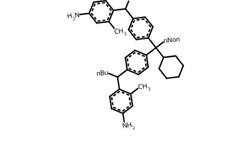 CCCCCCCCCC(c1ccc(C(CCCC)c2ccc(N)cc2C)cc1)(c1ccc(C(CCCC)c2ccc(N)cc2C)cc1)C1CCCCC1